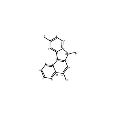 Cc1ccc2c(c1)c1c3ccccc3c(C)cc1n2C